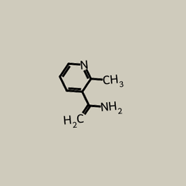 C=C(N)c1cccnc1C